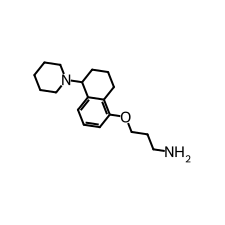 NCCCOc1cccc2c1CCCC2N1CCCCC1